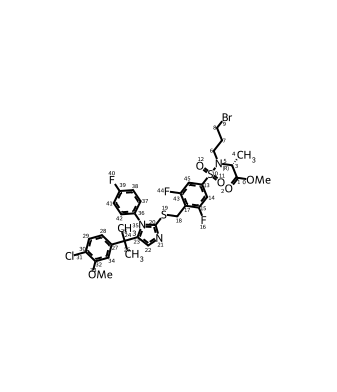 COC(=O)[C@@H](C)N(CCCBr)S(=O)(=O)c1cc(F)c(CSc2ncc(C(C)(C)c3ccc(Cl)c(OC)c3)n2-c2ccc(F)cc2)c(F)c1